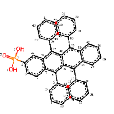 O=P(O)(O)c1ccc2c(-c3ccccc3)c3c(-c4ccccc4)c4ccccc4c(-c4ccccc4)c3c(-c3ccccc3)c2c1